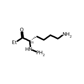 CCC(=O)[C@H](CCCCN)NP